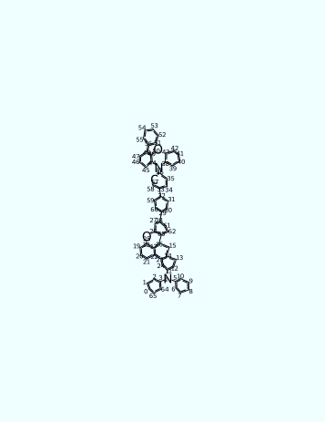 c1ccc(N(c2ccccc2)c2ccc3cc4c5c(cccc5c3c2)Oc2cc(-c3ccc(-c5ccc(N(c6ccccc6)c6cccc7c6oc6ccccc67)cc5)cc3)ccc2-4)cc1